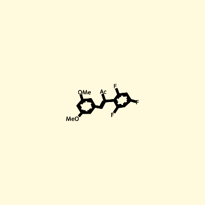 COc1cc(C=C(C(C)=O)c2c(F)cc(F)cc2F)cc(OC)c1